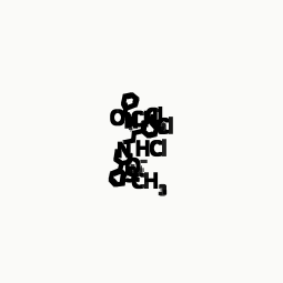 CN(C[C@@H](CCN1CCC(c2ccccc2[S+](C)[O-])CC1)c1ccc(Cl)c(Cl)c1)C(=O)c1ccccc1.Cl